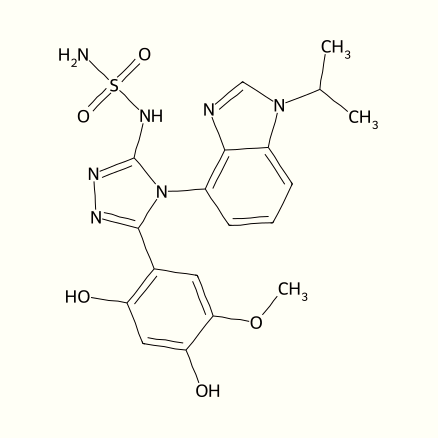 COc1cc(-c2nnc(NS(N)(=O)=O)n2-c2cccc3c2ncn3C(C)C)c(O)cc1O